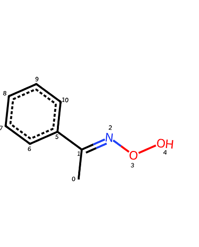 CC(=NOO)c1ccccc1